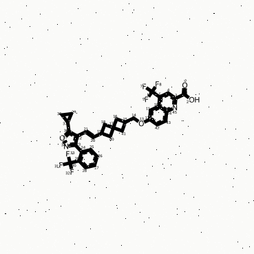 O=C(O)c1cc(C(F)(F)F)c2cc(OCC3CC4(CC(C=Cc5c(-c6ccccc6C(F)(F)F)noc5C5CC5)C4)C3)ccc2n1